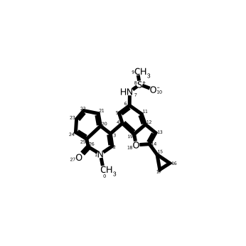 Cn1cc(-c2cc(N[S+](C)[O-])cc3cc(C4CC4)oc23)c2ccccc2c1=O